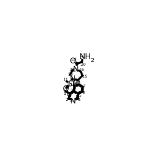 Cc1cncc2cccc([SH](C)(=O)N3CCCN(C(=O)CN)CC3)c12